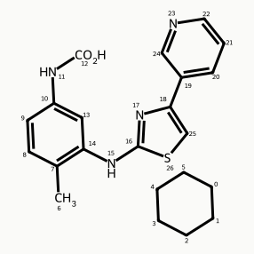 C1CCCCC1.Cc1ccc(NC(=O)O)cc1Nc1nc(-c2cccnc2)cs1